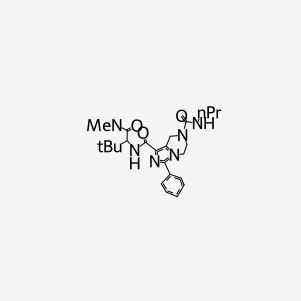 CCCNC(=O)N1CCn2c(-c3ccccc3)nc(C(=O)NC(C(=O)NC)C(C)(C)C)c2C1